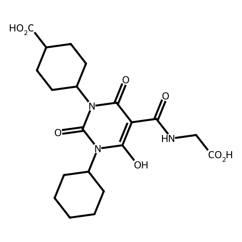 O=C(O)CNC(=O)c1c(O)n(C2CCCCC2)c(=O)n(C2CCC(C(=O)O)CC2)c1=O